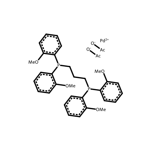 CC(=O)[O-].CC(=O)[O-].COc1ccccc1P(CCCP(c1ccccc1OC)c1ccccc1OC)c1ccccc1OC.[Pd+2]